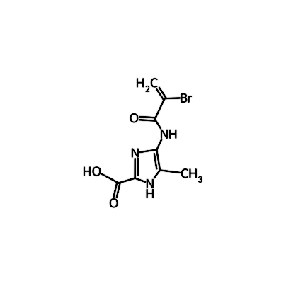 C=C(Br)C(=O)Nc1nc(C(=O)O)[nH]c1C